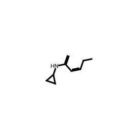 C=C(/C=C\CC)NC1CC1